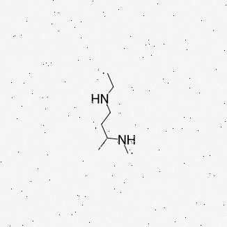 [CH2]CNCCC(C)N[CH2]